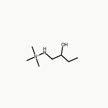 CCC(O)CN[N+](C)(C)C